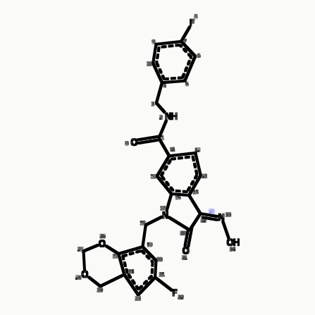 O=C(NCc1ccc(F)cc1)c1ccc2c(c1)N(Cc1cc(F)cc3c1OCOC3)C(=O)/C2=N\O